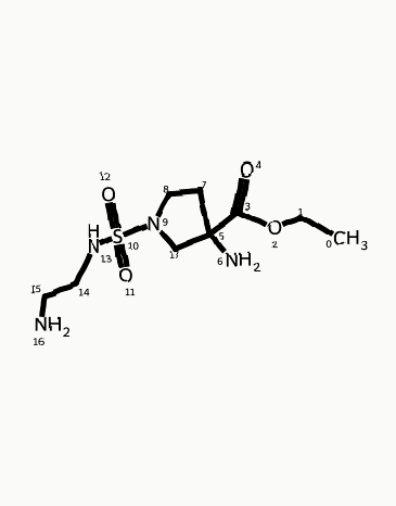 CCOC(=O)C1(N)CCN(S(=O)(=O)NCCN)C1